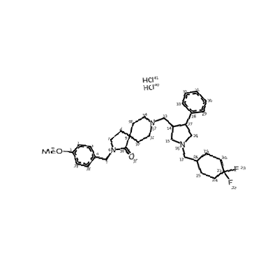 COc1ccc(CN2CCC3(CCN(CC4CN(CC5CCC(F)(F)CC5)CC4c4ccccc4)CC3)C2=O)cc1.Cl.Cl